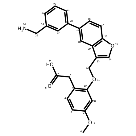 COc1ccc(CC(=O)O)c(OCc2coc3ccc(-c4cccc(CN)c4)cc23)c1